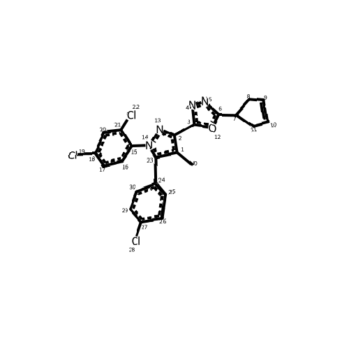 Cc1c(-c2nnc(C3CC=CC3)o2)nn(-c2ccc(Cl)cc2Cl)c1-c1ccc(Cl)cc1